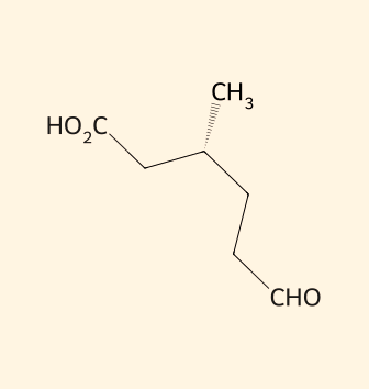 C[C@H](CCC=O)CC(=O)O